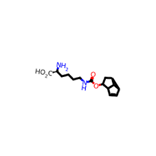 N[C@@H](CCCCNC(=O)OC1CC2C3C=CC1C32)C(=O)O